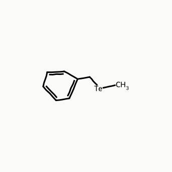 C[Te]Cc1ccccc1